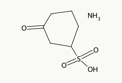 N.O=C1CCCC(S(=O)(=O)O)C1